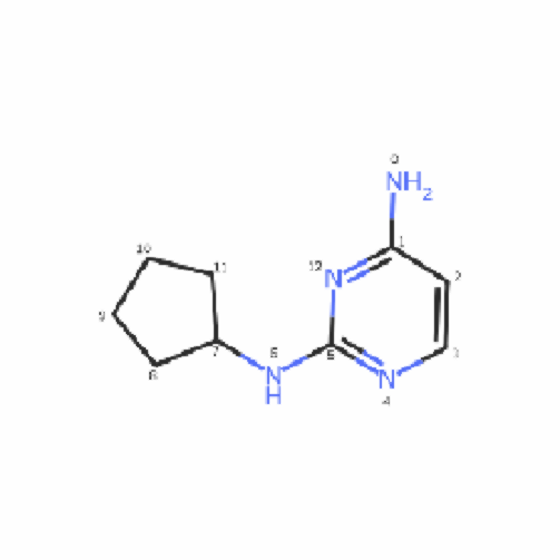 Nc1ccnc(NC2CCCC2)n1